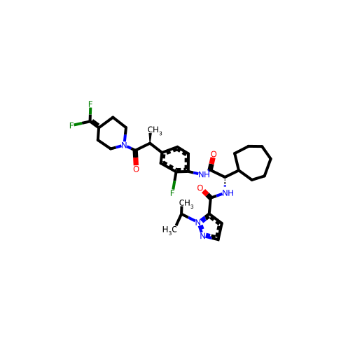 CC(C)n1nccc1C(=O)N[C@H](C(=O)Nc1ccc([C@H](C)C(=O)N2CCC(=C(F)F)CC2)cc1F)C1CCCCCC1